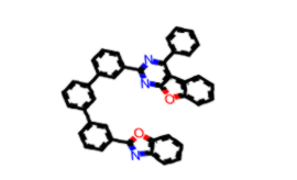 c1ccc(-c2nc(-c3cccc(-c4cccc(-c5cccc(-c6nc7ccccc7o6)c5)c4)c3)nc3oc4ccccc4c23)cc1